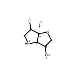 OC1CO[C@@H]2C(Cl)CNC12